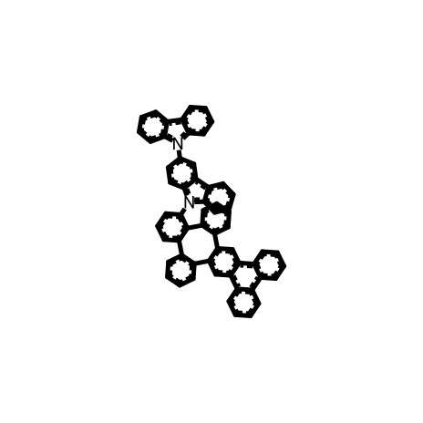 c1ccc2c(c1)-c1cc3c4ccccc4c4ccccc4c3cc1-c1ccccc1-c1c-2cccc1-n1c2ccccc2c2cc(-n3c4ccccc4c4ccccc43)ccc21